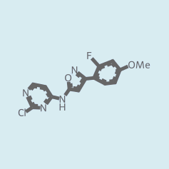 COc1ccc(-c2cc(Nc3ccnc(Cl)n3)on2)c(F)c1